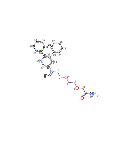 CC(C)N(CCOCCOCC(N)=O)c1cnc(-c2ccccc2)c(-c2ccccc2)n1